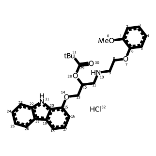 COc1ccccc1OCCNCC(COc1cccc2c1[nH]c1ccccc12)OC(=O)C(C)(C)C.Cl